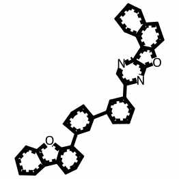 c1cc(-c2cccc(-c3cccc4c3oc3ccccc34)c2)cc(-c2cnc3c(n2)oc2ccc4ccccc4c23)c1